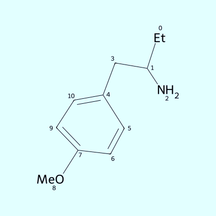 CCC(N)Cc1ccc(OC)cc1